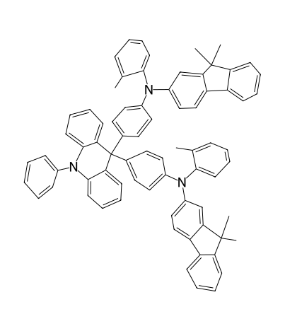 Cc1ccccc1N(c1ccc(C2(c3ccc(N(c4ccc5c(c4)C(C)(C)c4ccccc4-5)c4ccccc4C)cc3)c3ccccc3N(c3ccccc3)c3ccccc32)cc1)c1ccc2c(c1)C(C)(C)c1ccccc1-2